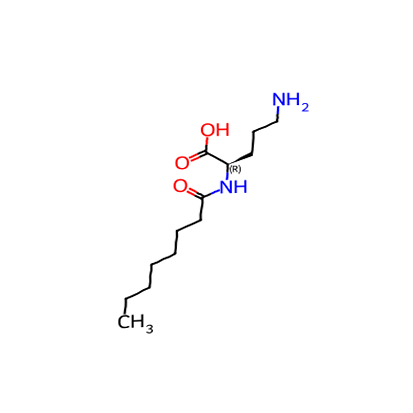 CCCCCCCC(=O)N[C@H](CCCN)C(=O)O